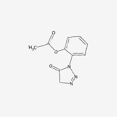 CC(=O)Oc1ccccc1N1N=NCC1=O